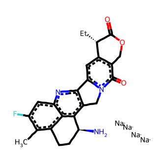 CC[C@@H]1C(=O)OCc2c1cc1n(c2=O)Cc2c-1nc1cc(F)c(C)c3c1c2[C@@H](N)CC3.[Na].[Na].[Na].[Na]